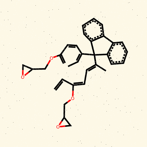 C=C/C(=C\C=C(/C)C1(C(/C=C\C(=C)OCC2CO2)=C/C)c2ccccc2-c2ccccc21)OCC1CO1